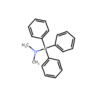 CN(C)[Si](c1ccccc1)(c1ccccc1)c1ccccc1